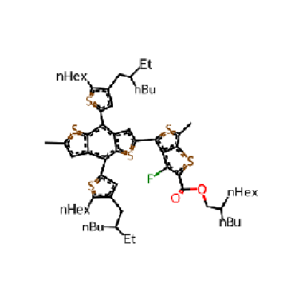 CCCCCCc1sc(-c2c3cc(-c4sc(C)c5sc(C(=O)OCC(CCCC)CCCCCC)c(F)c45)sc3c(-c3cc(CC(CC)CCCC)c(CCCCCC)s3)c3cc(C)sc23)cc1CC(CC)CCCC